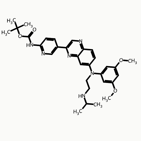 COc1cc(OC)cc(N(CCNC(C)C)c2ccc3ncc(-c4ccc(NC(=O)OC(C)(C)C)nc4)nc3c2)c1